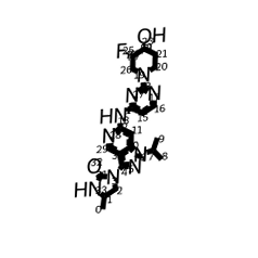 CC1CN(c2nn(C(C)C)c3cc(Nc4ccnc(N5CC[C@@H](O)[C@@H](F)C5)n4)ncc23)C(=O)N1